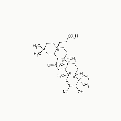 CC1(C)CC[C@]2(CCC(=O)O)CC[C@]3(C)C(C(=O)C=C4[C@@]5(C)C=C(C#N)C(O)C(C)(C)[C@@H]5CC[C@]43C)C2C1